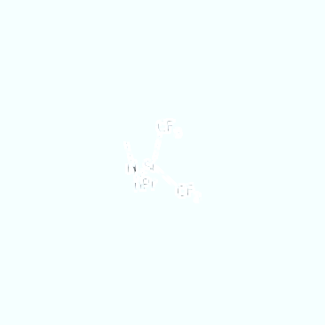 CCCC.FC(F)(F)[SiH2]C(F)(F)F